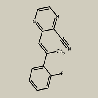 CC(=Cc1nccnc1C#N)c1ccccc1F